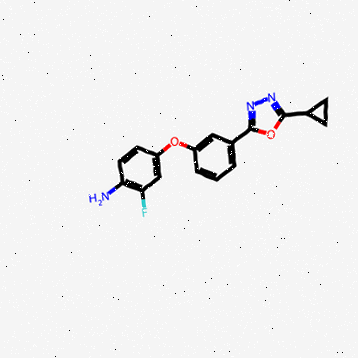 Nc1ccc(Oc2cccc(-c3nnc(C4CC4)o3)c2)cc1F